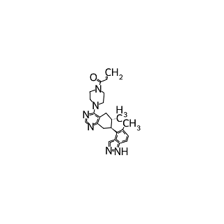 C=CC(=O)N1CCN(c2ncnc3c2C[C@H](C)[C@@H](c2c(C)ccc4[nH]ncc24)C3)CC1